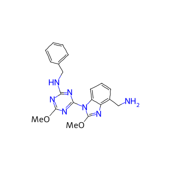 COc1nc(NCc2ccccc2)nc(-n2c(OC)nc3c(CN)cccc32)n1